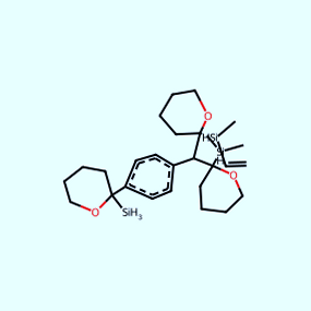 C=C[SiH](C)C1(C(c2ccc(C3([SiH3])CCCCO3)cc2)C2([SiH](C)C)CCCCO2)CCCCO1